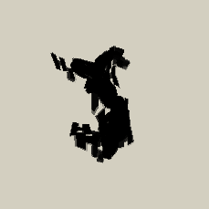 CON[C@H](CC(CCCN)c1nc2ccc3nc(-c4ccc5c(c4)ncc4nc([C@@H]6CCCN6C(=O)[C@@H](NC(=O)OC)C(C)C)[nH]c45)ccc3c2[nH]1)C(C)C